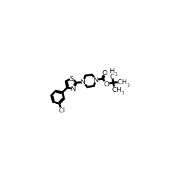 CC(C)(C)OC(=O)N1CCN(c2nc(-c3cccc(Cl)c3)cs2)CC1